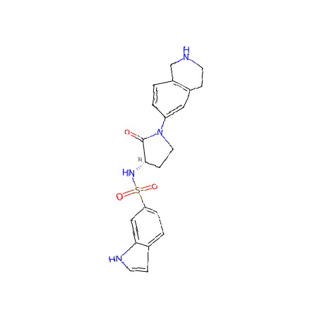 O=C1[C@@H](NS(=O)(=O)c2ccc3cc[nH]c3c2)CCN1c1ccc2c(c1)CCNC2